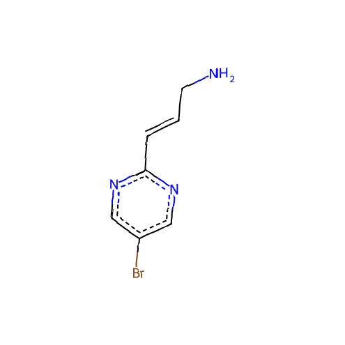 NCC=Cc1ncc(Br)cn1